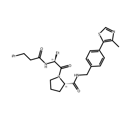 CC[C@H](NC(=O)CCC(C)C)C(=O)N1CCC[C@H]1C(=O)NCc1ccc(-c2scnc2C)cc1